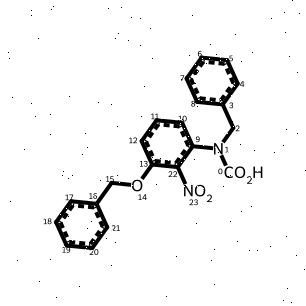 O=C(O)N(Cc1ccccc1)c1cccc(OCc2ccccc2)c1[N+](=O)[O-]